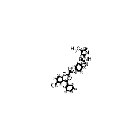 Cc1cc(NS(=O)(=O)c2ccc(NC(=O)COc3ccc(Cl)cc3C(=O)c3ccccc3)cc2)no1